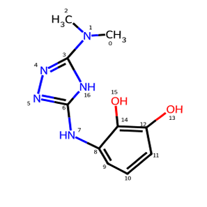 CN(C)c1nnc(Nc2cccc(O)c2O)[nH]1